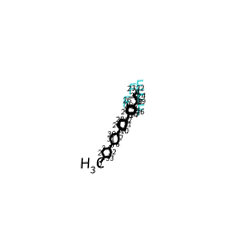 CC1CCC(C2CCC(c3ccc(-c4cc(F)c(/C(F)=C/C(F)(F)F)c(F)c4)cc3)CC2)CC1